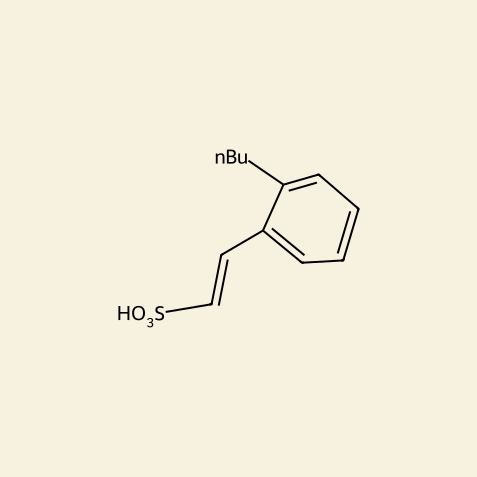 CCCCc1ccccc1C=CS(=O)(=O)O